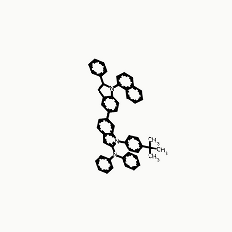 CC(C)(C)c1ccc(-n2c(N(c3ccccc3)c3ccccc3)cc3ccc(-c4ccc5c(c4)CC(c4ccccc4)N5c4cccc5ccccc45)cc32)cc1